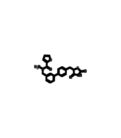 CN(Cc1cccc(-c2ccc(CC3SC(=O)NC3=O)cc2)c1)C(=O)c1ccco1